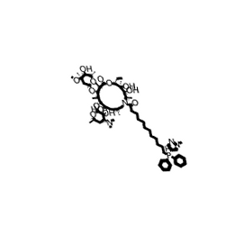 CC[C@H]1OC(=O)[C@H](C)[C@@H](O[C@H]2C[C@@](C)(OC)[C@@H](O)[C@H](C)O2)[C@H](C)[C@@H](O[C@@H]2O[C@H](C)C[C@H](N(C)C)[C@H]2O)[C@](C)(O)C[C@@H](C)CN(C(=O)CCCCCCCCCCC[PH](c2ccccc2)(c2ccccc2)c2cnn(C)c2)[C@H](C)[C@@H](O)[C@]1(C)O